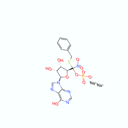 O=[N+]([O-])C(OP(=O)([O-])[O-])(SCc1ccccc1)[C@H]1O[C@@H](n2cnc3c(O)ncnc32)[C@H](O)[C@@H]1O.[Na+].[Na+]